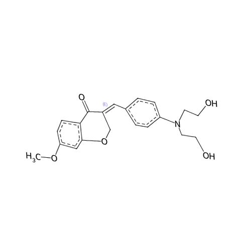 COc1ccc2c(c1)OC/C(=C\c1ccc(N(CCO)CCO)cc1)C2=O